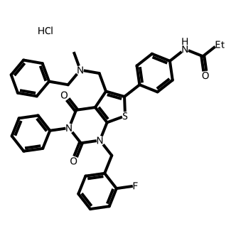 CCC(=O)Nc1ccc(-c2sc3c(c2CN(C)Cc2ccccc2)c(=O)n(-c2ccccc2)c(=O)n3Cc2ccccc2F)cc1.Cl